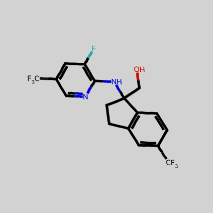 OCC1(Nc2ncc(C(F)(F)F)cc2F)CCc2cc(C(F)(F)F)ccc21